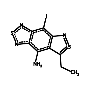 CCC1=S=Nc2c1c(N)c1nsnc1c2I